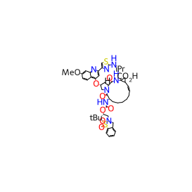 COc1ccc2c(O[C@@H]3C[C@H]4C(=O)N[C@]5(C(=O)O)CC5/C=C\CCCCC[C@H](NC(=O)O[C@H](CN5Cc6ccccc6S5(=O)=O)C(C)(C)C)C(=O)N4C3)cc(-c3csc(NC(C)C)n3)nc2c1